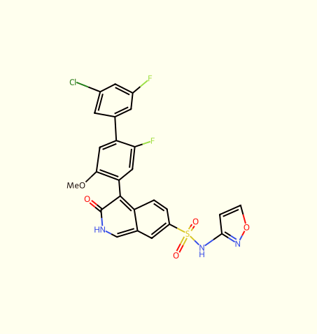 COc1cc(-c2cc(F)cc(Cl)c2)c(F)cc1-c1c(=O)[nH]cc2cc(S(=O)(=O)Nc3ccon3)ccc12